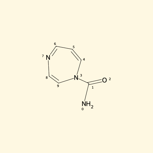 NC(=O)N1C=CC=NC=C1